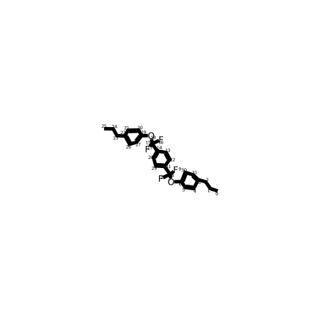 CCCc1ccc(OC(F)(F)c2ccc(C(F)(F)Oc3ccc(CCC)cc3)cc2)cc1